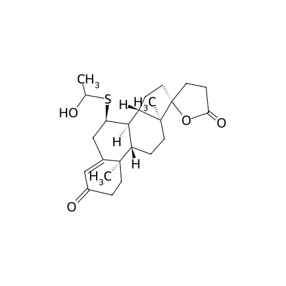 CC(O)S[C@@H]1CC2=CC(=O)CC[C@]2(C)[C@H]2CC[C@@]3(C)[C@@H](CC[C@@]34CCC(=O)O4)[C@H]12